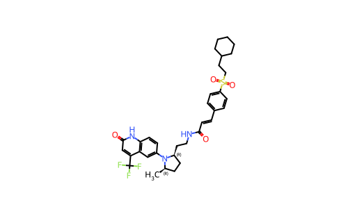 C[C@@H]1CC[C@H](CCNC(=O)C=Cc2ccc(S(=O)(=O)CCC3CCCCC3)cc2)N1c1ccc2[nH]c(=O)cc(C(F)(F)F)c2c1